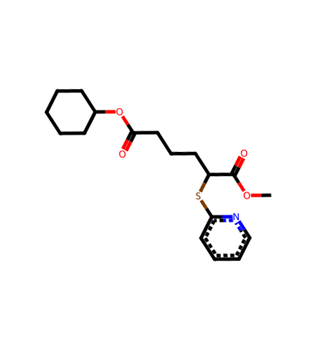 COC(=O)C(CCCC(=O)OC1CCCCC1)Sc1ccccn1